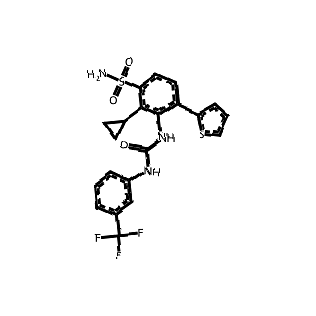 NS(=O)(=O)c1ccc(-c2cccs2)c(NC(=O)Nc2cccc(C(F)(F)F)c2)c1C1CC1